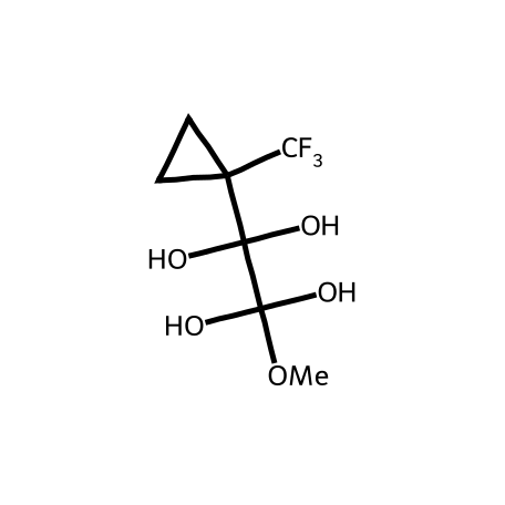 COC(O)(O)C(O)(O)C1(C(F)(F)F)CC1